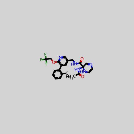 CC(=O)NC1(C(=O)NCc2cnc(OCC(F)(F)F)c(-c3ccccc3C)c2)C=NC=CN1